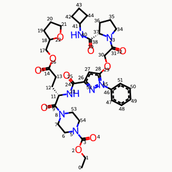 CCOC(=O)N1CCN(C(=O)[C@H](CCC(=O)OCC2CCCO2)NC(=O)c2cc(OCC(=O)N3CCC[C@H]3C(=O)NC3CCC3)n(-c3ccccc3)n2)CC1